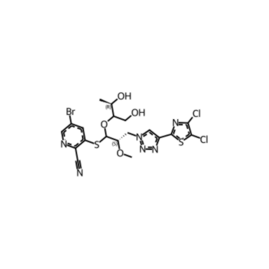 CO[C@@H](Cn1cc(-c2nc(Cl)c(Cl)s2)nn1)C(OC(CO)[C@@H](C)O)Sc1cc(Br)cnc1C#N